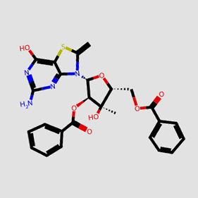 C=C1Sc2c(O)nc(N)nc2N1[C@@H]1O[C@H](COC(=O)c2ccccc2)[C@@](C)(O)[C@H]1OC(=O)c1ccccc1